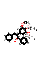 COc1cc(C(=Cc2ccccc2)C(=O)c2ccccc2)cc(OC)c1OC